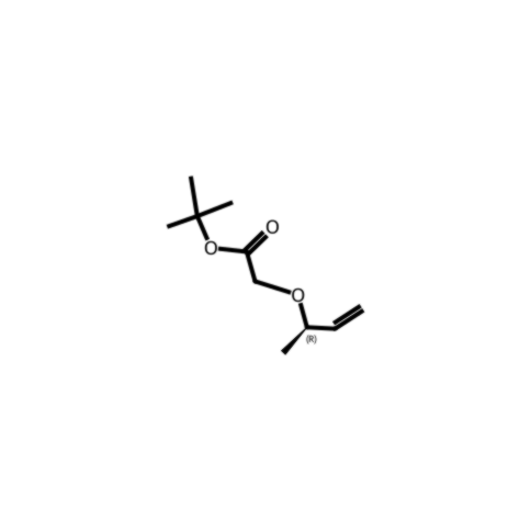 C=C[C@@H](C)OCC(=O)OC(C)(C)C